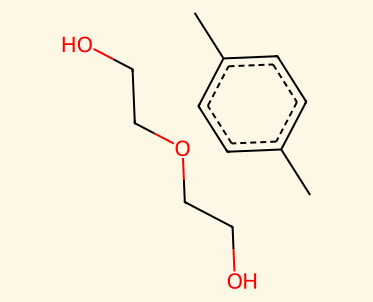 Cc1ccc(C)cc1.OCCOCCO